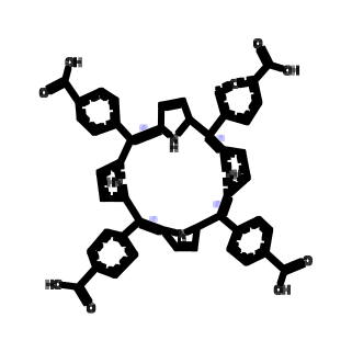 O=C(O)c1ccc(/C2=C3\C=CC(N3)/C(c3ccc(C(=O)O)cc3)=c3/cc/c([nH]3)=C(\c3ccc(C(=O)O)cc3)C3C=C/C(=C(\c4ccc(C(=O)O)cc4)c4ccc2[nH]4)N3)cc1